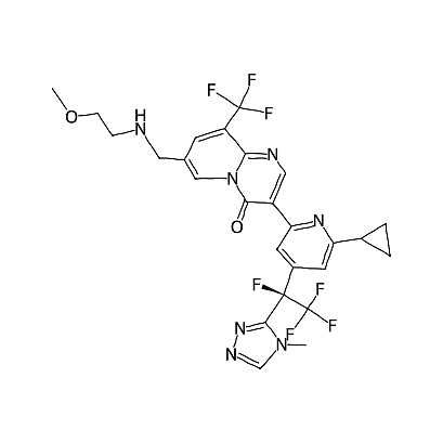 COCCNCc1cc(C(F)(F)F)c2ncc(-c3cc([C@@](F)(c4nncn4C)C(F)(F)F)cc(C4CC4)n3)c(=O)n2c1